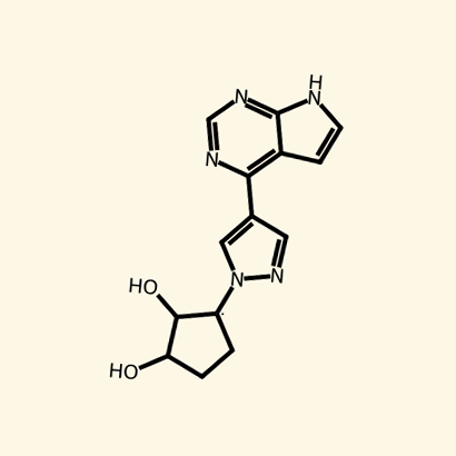 OC1CC[C](n2cc(-c3ncnc4[nH]ccc34)cn2)C1O